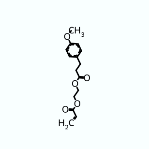 C=CC(=O)OCCOC(=O)CCc1ccc(OC)cc1